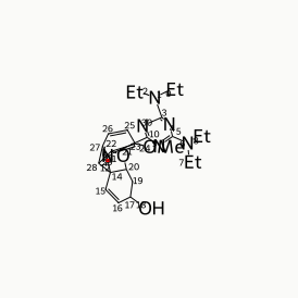 CCN(CC)c1nc(N(CC)CC)nc(N2CCC34C=CC(O)CC3Oc3c(OC)ccc(c34)C2)n1